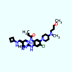 C=CC(=O)Nc1cc(N2CCC(N(C)CCCOC)CC2)c(Cl)cc1NC(/N=C\C(C#N)=C\NC1CCC1)=N/C